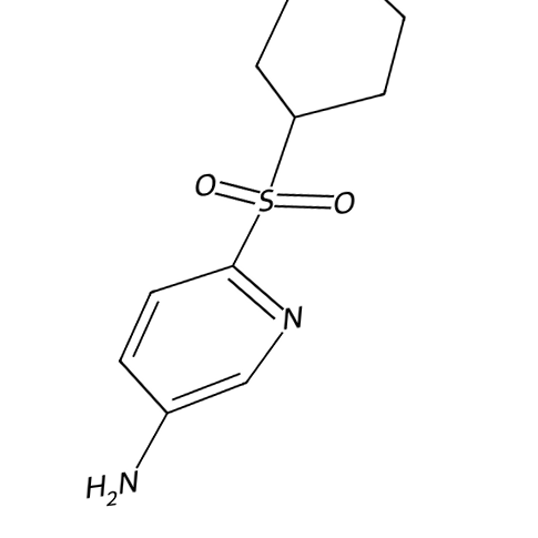 Nc1ccc(S(=O)(=O)C2CCCCC2)nc1